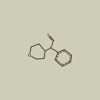 S=[C]N(c1ccccc1)N1CCOCC1